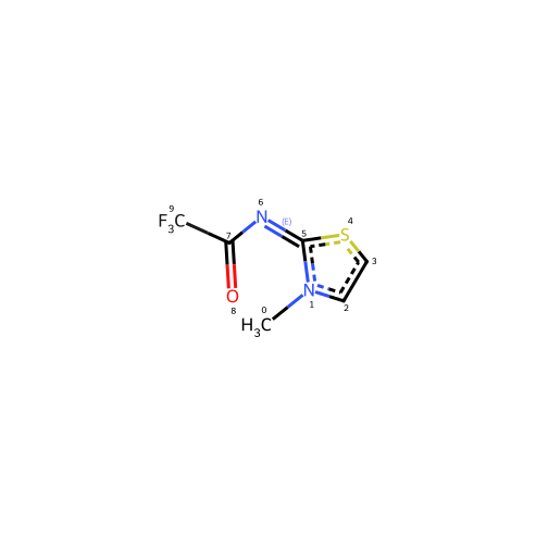 Cn1ccs/c1=N/C(=O)C(F)(F)F